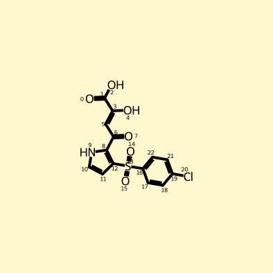 O=C(O)C(O)=CC(=O)c1[nH]ccc1S(=O)(=O)c1ccc(Cl)cc1